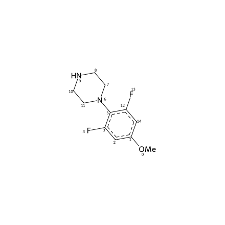 COc1cc(F)c(N2CCNCC2)c(F)c1